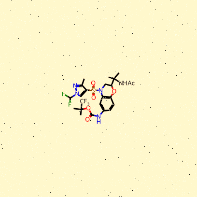 CC(=O)NC(C)(C)C1CN(S(=O)(=O)c2cn(C(F)F)nc2C)c2cc(NC(=O)OC(C)(C)C(F)(F)F)ccc2O1